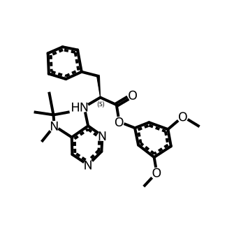 COc1cc(OC)cc(OC(=O)[C@H](Cc2ccccc2)Nc2ncncc2N(C)C(C)(C)C)c1